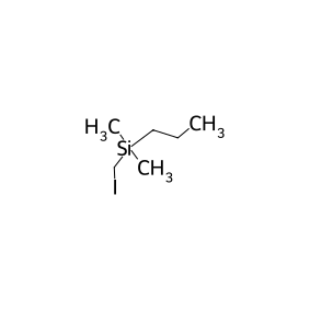 CCC[Si](C)(C)CI